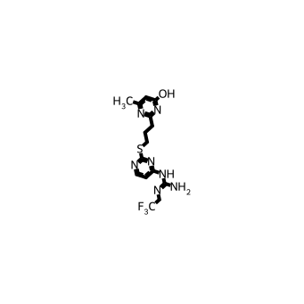 Cc1cc(O)nc(CCCSc2nccc(NC(N)=NCC(F)(F)F)n2)n1